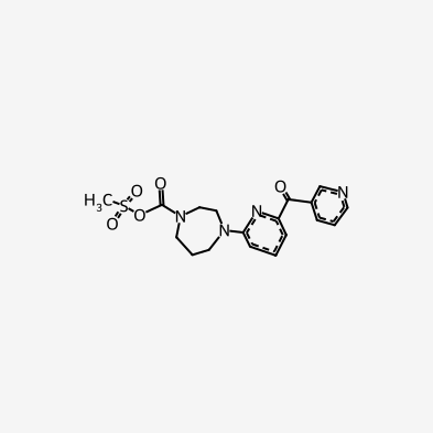 CS(=O)(=O)OC(=O)N1CCCN(c2cccc(C(=O)c3cccnc3)n2)CC1